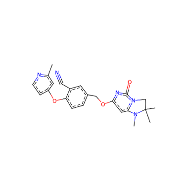 Cc1cc(Oc2ccc(COc3cc4n(c(=O)n3)CC(C)(C)N4C)cc2C#N)ccn1